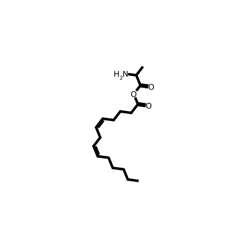 CCCCC/C=C\C/C=C\CCCC(=O)OC(=O)C(C)N